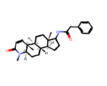 CN1C(=O)C=C[C@]2(C)[C@H]3CC[C@]4(C)C(NC(=O)Cc5ccccc5)CC[C@H]4[C@@H]3CC[C@@H]12